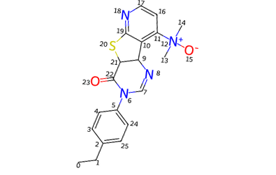 CCc1ccc(N2C=NC3c4c([N+](C)(C)[O-])ccnc4SC3C2=O)cc1